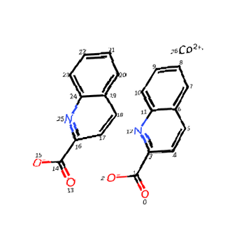 O=C([O-])c1ccc2ccccc2n1.O=C([O-])c1ccc2ccccc2n1.[Co+2]